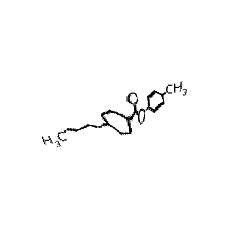 CCCCCC1CCC(C(=O)OC2C=CC(C)C=C2)CC1